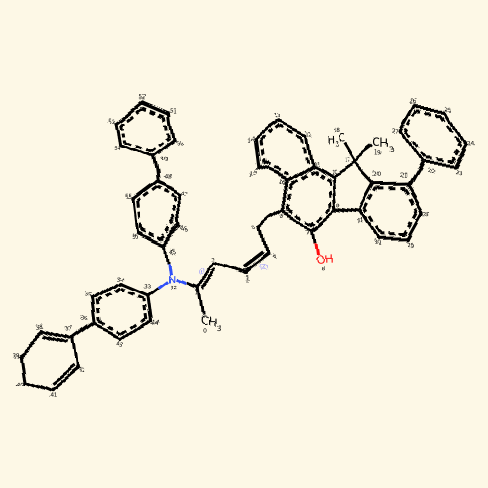 C/C(=C\C=C/Cc1c(O)c2c(c3ccccc13)C(C)(C)c1c(-c3ccccc3)cccc1-2)N(c1ccc(C2=CCCC=C2)cc1)c1ccc(-c2ccccc2)cc1